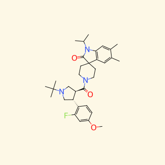 COc1ccc([C@@H]2CN(C(C)(C)C)C[C@H]2C(=O)N2CCC3(CC2)C(=O)N(C(C)C)c2cc(C)c(C)cc23)c(F)c1